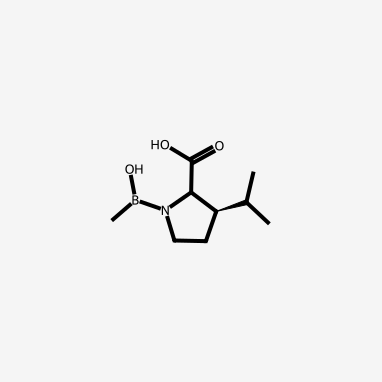 CB(O)N1CC[C@H](C(C)C)C1C(=O)O